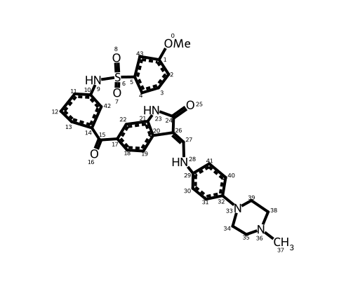 COc1cccc(S(=O)(=O)Nc2cccc(C(=O)c3ccc4c(c3)NC(=O)/C4=C/Nc3ccc(N4CCN(C)CC4)cc3)c2)c1